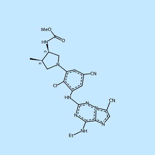 CCNc1nc(Nc2cc(C#N)cc(N3C[C@@H](C)[C@@H](NC(=O)OC)C3)c2Cl)nn2c(C#N)cnc12